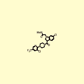 CNC(=O)CN1CC(C(=O)N2CCN(c3ncc(C(F)(F)F)cc3Cl)CC2)c2ccc(Cl)cc21